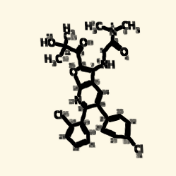 CN(C)C(=O)CNc1c(C(=O)C(C)(C)O)oc2nc(-c3ccccc3Cl)c(-c3ccc(Cl)cc3)cc12